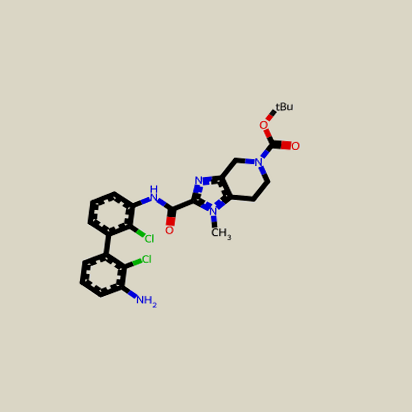 Cn1c(C(=O)Nc2cccc(-c3cccc(N)c3Cl)c2Cl)nc2c1CCN(C(=O)OC(C)(C)C)C2